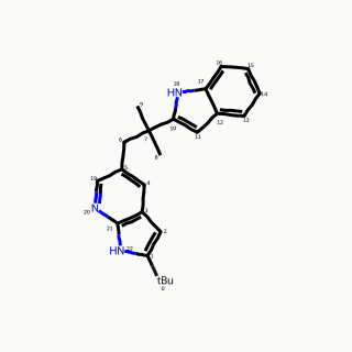 CC(C)(C)c1cc2cc(CC(C)(C)c3cc4ccccc4[nH]3)cnc2[nH]1